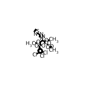 CC(=O)OC[C@H]1O[C@H](Sc2cc(Cl)c(Cl)c(Cl)c2)[C@H](OC(C)=O)[C@@H](n2cc(-c3nccs3)nn2)[C@H]1OC(C)=O